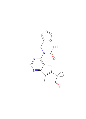 Cc1c(C2(C=O)CC2)sc2c(N(Cc3ccco3)C(=O)O)nc(Cl)nc12